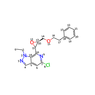 CCn1ncc2cc(Cl)nc(C3O[C@H]3COC[CH]c3ccccc3)c21